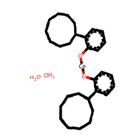 O.O.c1ccc(C2CCCCCCCC2)c([O][Co][O]c2ccccc2C2CCCCCCCC2)c1